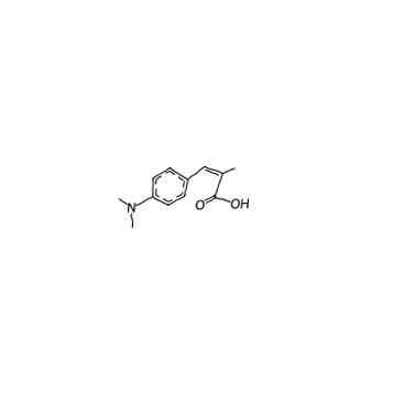 CC(=Cc1ccc(N(C)C)cc1)C(=O)O